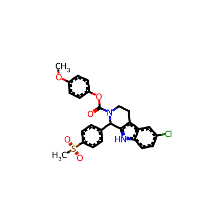 COc1ccc(OC(=O)N2CCc3c([nH]c4ccc(Cl)cc34)C2c2ccc(S(C)(=O)=O)cc2)cc1